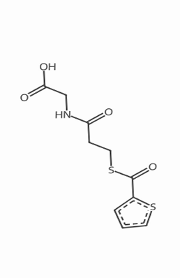 O=C(O)CNC(=O)CCSC(=O)c1cccs1